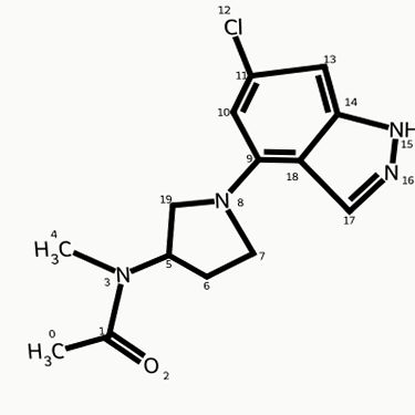 CC(=O)N(C)C1CCN(c2cc(Cl)cc3[nH]ncc23)C1